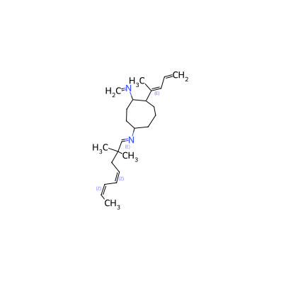 C=C/C=C(\C)C1CCCC(/N=C/C(C)(C)C/C=C\C=C/C)CCC1N=C